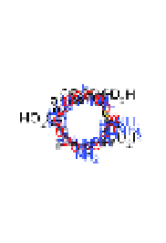 Cc1cccc(C[C@@H]2NC(=O)[C@H](CC(=O)O)NC(=O)[C@H](Cc3ccc(C(=O)O)cc3)NC(=O)[C@H](C)NC(=O)CSC[C@@H](C(=O)N[C@@H](CCN)C(N)=O)NC(=O)[C@H](CCC(=O)O)NC(=O)[C@H](C(C)C)NC(=O)[C@H](CC3CCCCC3)NC(=O)[C@H](CCN)NC(=O)[C@@H](CC(C)C)NC(=O)[C@H](C)N(C)C(=O)[C@H](Cc3ccc(C(=O)O)cc3)NC(=O)[C@H](Cc3ccc(-c4ccccc4)cc3)NC(=O)[C@H](Cc3ccc(C(=O)O)cc3)NC2=O)c1